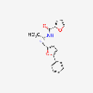 O=C(O)/C(=C/c1ccc(-c2ccccc2)o1)NC(=O)c1ccco1